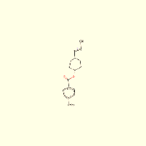 CCCCCCc1ccc(C(=O)O[C@H]2CC[C@H](/C=C/C#N)CC2)cc1